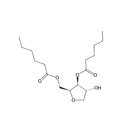 CCCCCC(=O)OC[C@@H]1OC[C@@H](O)[C@@H]1OC(=O)CCCCC